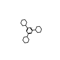 [c]1c(C2CCCCC2)cc(C2CCCCC2)cc1C1CCCCC1